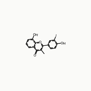 Cc1c(-c2ccc(O)c(I)c2)oc2c(O)cccc2c1=O